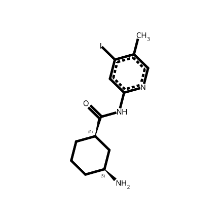 Cc1cnc(NC(=O)[C@@H]2CCC[C@H](N)C2)cc1I